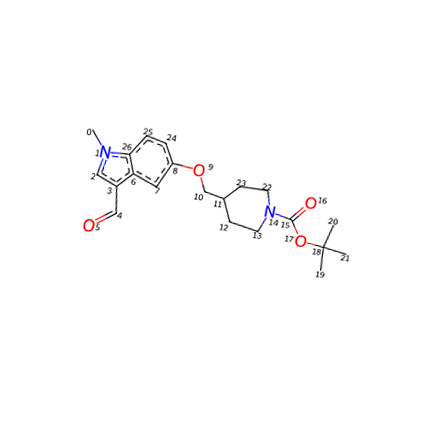 Cn1cc(C=O)c2cc(OCC3CCN(C(=O)OC(C)(C)C)CC3)ccc21